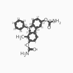 Cc1c(OC(N)=O)ccc2c3cc(OC(N)=O)ccc3n(-c3ccccc3)c12